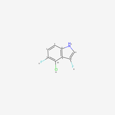 Fc1ccc2[nH]cc(F)c2c1Cl